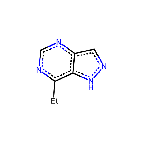 CCc1ncnc2cn[nH]c12